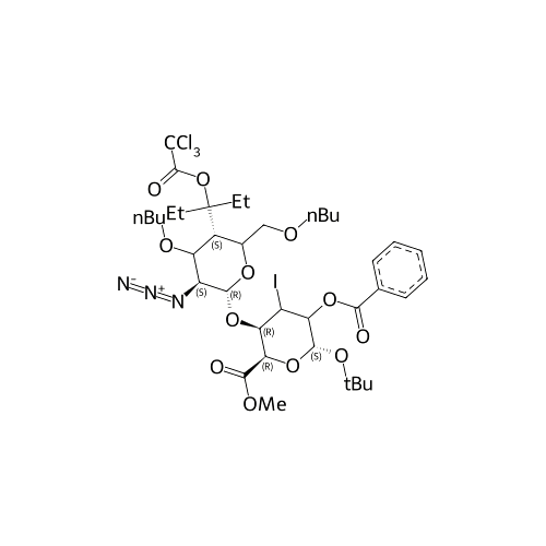 CCCCOCC1O[C@H](O[C@H]2C(I)C(OC(=O)c3ccccc3)[C@H](OC(C)(C)C)O[C@H]2C(=O)OC)[C@@H](N=[N+]=[N-])C(OCCCC)[C@@H]1C(CC)(CC)OC(=O)C(Cl)(Cl)Cl